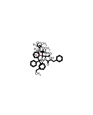 CCCCCON(C(=O)CCc1ccccc1)[C@](NC(=O)OC(C)(C)C)(C(=O)O)[C@](C)(SC(c1ccccc1)(c1ccccc1)c1ccccc1)C(NCCC)SC